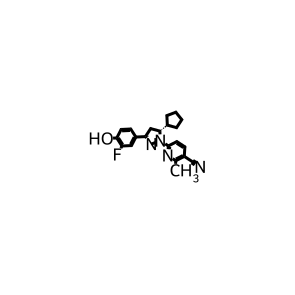 Cc1nc(N2N=C(c3ccc(O)c(F)c3)C[C@@H]2C2CCCC2)ccc1C#N